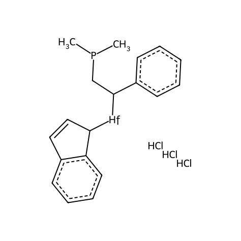 CP(C)C[CH]([Hf][CH]1C=Cc2ccccc21)c1ccccc1.Cl.Cl.Cl